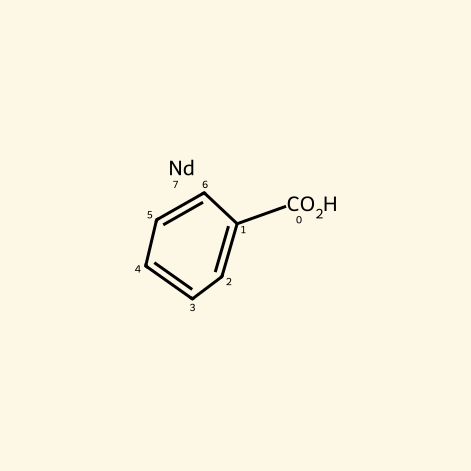 O=C(O)c1ccccc1.[Nd]